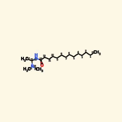 CCCCCCCCCCCCCC(=O)NC(C)N(C)C